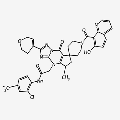 CC1CC2(CCN(C(=O)c3c(O)ccc4cccnc34)CC2)c2c1n(CC(=O)Nc1ccc(C(F)(F)F)cc1Cl)c1nc(C3=CCOCC3)nn1c2=O